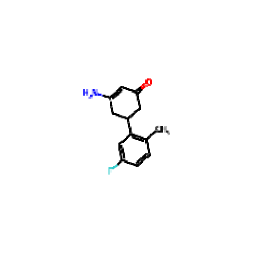 Cc1ccc(F)cc1C1CC(=O)C=C(N)C1